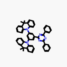 CC1(C)c2ccccc2N(c2cc(-c3nc(-c4ccccc4)nc(-c4ccccc4)n3)cc(N3c4ccccc4C(C)(C)c4ccccc43)c2)c2ccccc21